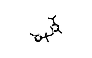 Cc1cc(C(C)C)nn1CC(C)(C)c1ccn(C)n1